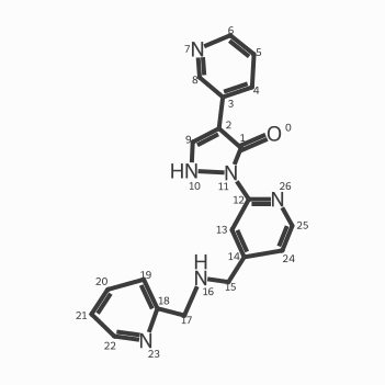 O=c1c(-c2cccnc2)c[nH]n1-c1cc(CNCc2ccccn2)ccn1